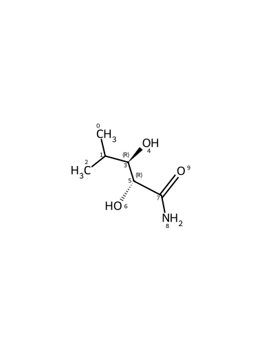 CC(C)[C@@H](O)[C@@H](O)C(N)=O